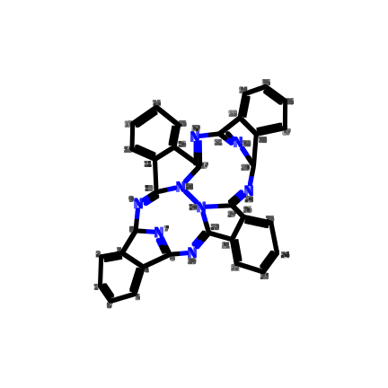 c1ccc2c(c1)C1=NC2/N=c2/c3ccccc3/c3n2-n2/c(c4ccccc4/c2=N/C2N=C(/N=3)c3ccccc32)=N\1